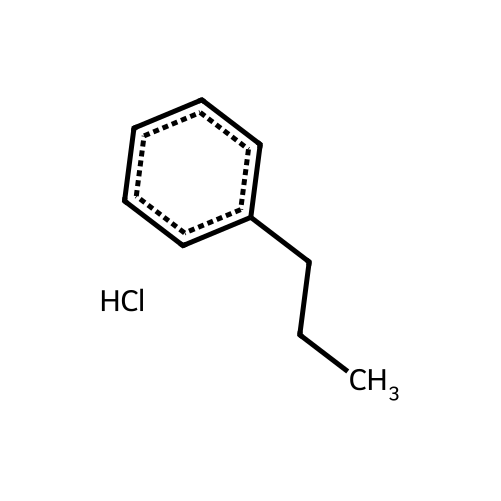 CCCc1ccccc1.Cl